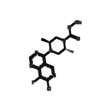 C[C@@H]1CN(c2ncnc3c(F)c(Cl)ncc23)[C@@H](C)CN1C(=O)OC(C)(C)C